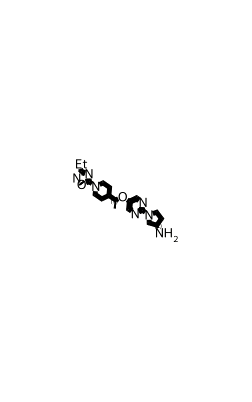 CCc1noc(N2CCC([C@H](C)Oc3cnc(N4CC[C@@H](N)C4)nc3)CC2)n1